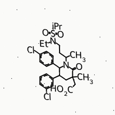 CCN(CCC(C)N1C(=O)C(C)(CC(=O)O)CC(c2cccc(Cl)c2)C1c1ccc(Cl)cc1)S(=O)(=O)C(C)C